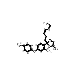 C/C=N\C=C/CCC1(c2ccc(Oc3ccc(C(F)(F)F)cc3)cc2C(F)(F)F)OCC(CC)O1